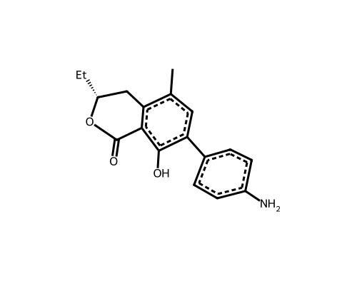 CC[C@@H]1Cc2c(C)cc(-c3ccc(N)cc3)c(O)c2C(=O)O1